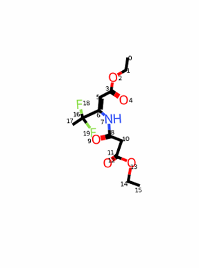 CCOC(=O)C=C(NC(=O)CC(=O)OCC)C(C)(F)F